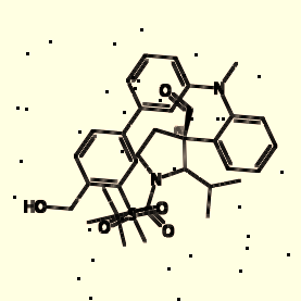 CC(C)C1N(C(=O)C(C)(C)C)CC[C@]1(C=O)c1ccccc1N(C)c1cccc(-c2ccc(CO)c(S(C)(=O)=O)c2)c1